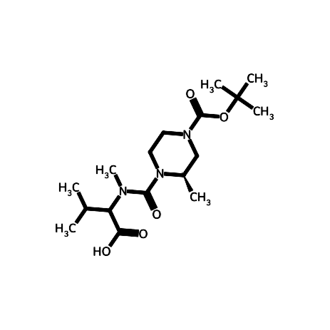 CC(C)C(C(=O)O)N(C)C(=O)N1CCN(C(=O)OC(C)(C)C)C[C@H]1C